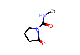 CCNC(=O)N1CCCC1=O